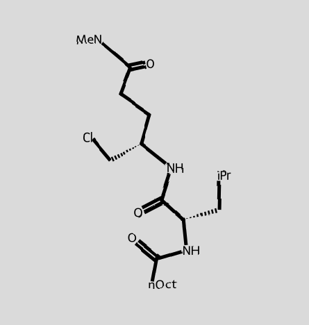 CCCCCCCCC(=O)N[C@@H](CC(C)C)C(=O)N[C@H](CCl)CCC(=O)NC